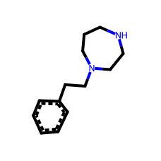 c1ccc(CCN2CCCNCC2)cc1